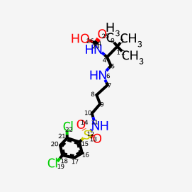 CC(C)(C)C(CNCCCCNS(=O)(=O)c1ccc(Cl)cc1Cl)NC(=O)O